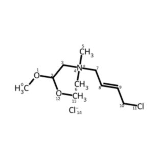 COC(C[N+](C)(C)CC=CCCl)OC.[Cl-]